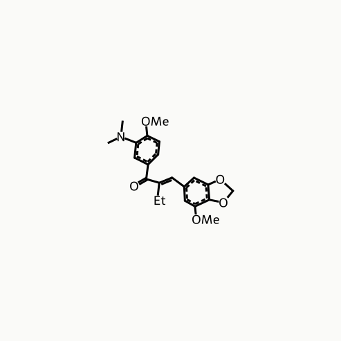 CC/C(=C\c1cc(OC)c2c(c1)OCO2)C(=O)c1ccc(OC)c(N(C)C)c1